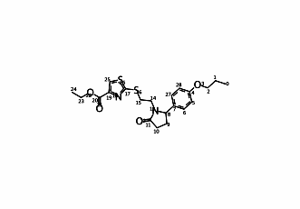 CCCOc1ccc(C2CCC(=O)N2CCSc2nc(C(=O)OCC)cs2)cc1